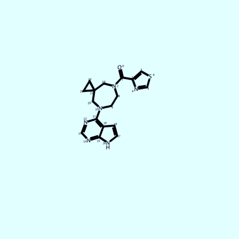 O=C(c1cscn1)N1CCN(c2ncnc3[nH]ccc23)CC2(CC2)C1